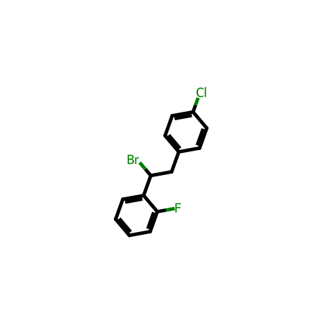 Fc1ccccc1C(Br)Cc1ccc(Cl)cc1